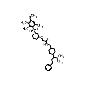 COc1cc(C)c(S(=O)(=O)N2CCCC(OCC(=O)NCC3CCC(C(CCc4ccccc4)N(C)C)CC3)C2)c(C)c1C